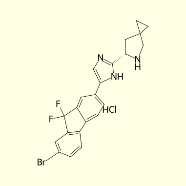 Cl.FC1(F)c2cc(Br)ccc2-c2ccc(-c3cnc([C@@H]4CC5(CC5)CN4)[nH]3)cc21